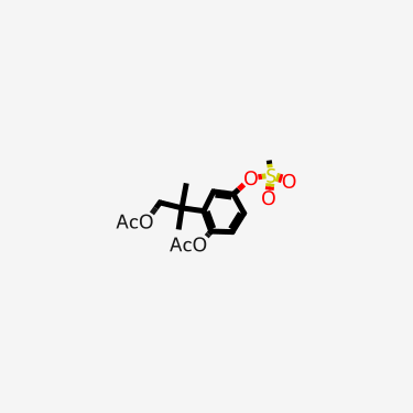 CC(=O)OCC(C)(C)c1cc(OS(C)(=O)=O)ccc1OC(C)=O